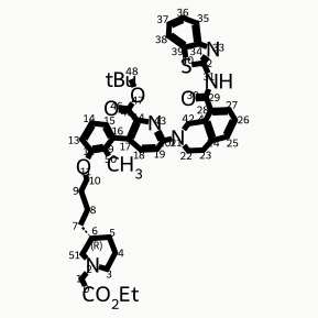 CCOC(=O)CN1CCC[C@@H](CCCCOc2cccc(-c3ccc(N4CCc5cccc(C(=O)Nc6nc7ccccc7s6)c5C4)nc3C(=O)OC(C)(C)C)c2C)C1